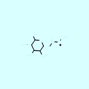 CC1O[C@H](CNS(=O)O)C(O)C(O)[C@@H]1O